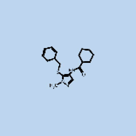 Cn1ncc(NC(=O)C2CCCCC2)c1SCC1C=CC=CC1